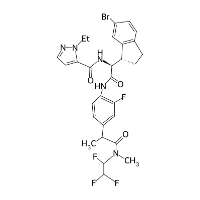 CCn1nccc1C(=O)N[C@H](C(=O)Nc1ccc(C(C)C(=O)N(C)C(F)C(F)F)cc1F)[C@H]1CCc2ccc(Br)cc21